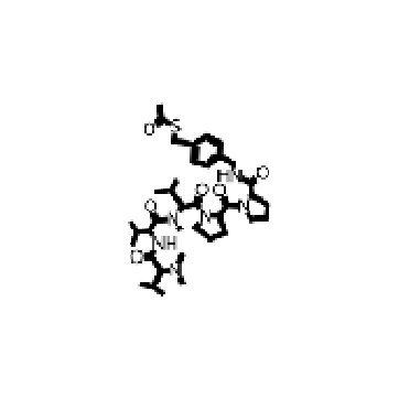 CC(=O)SCc1ccc(CNC(=O)C2CCCN2C(=O)C2CCCN2C(=O)C(C(C)C)N(C)C(=O)C(NC(=O)C(C(C)C)N(C)C)C(C)C)cc1